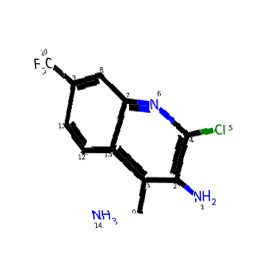 Cc1c(N)c(Cl)nc2cc(C(F)(F)F)ccc12.N